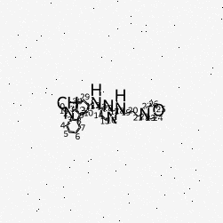 CCn1c2ccccc2c2cc(Nc3ccnc(NCCCN4CCOCC4)n3)ccc21